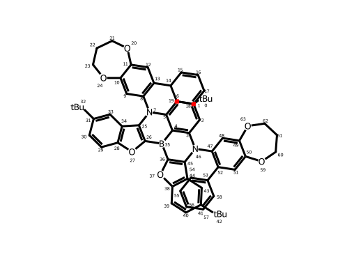 CC(C)(C)c1cc2c3c(c1)N(c1cc4c(cc1C1C=CC=CC1)OCCCO4)c1c(oc4ccc(C(C)(C)C)cc14)B3c1oc3ccc(C(C)(C)C)cc3c1N2c1cc2c(cc1-c1ccccc1)OCCCO2